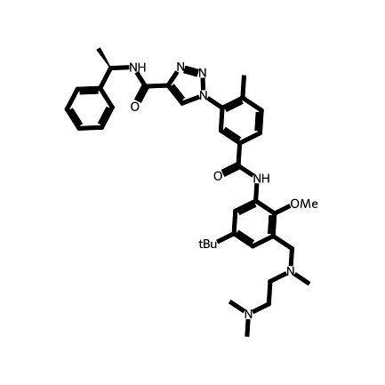 COc1c(CN(C)CCN(C)C)cc(C(C)(C)C)cc1NC(=O)c1ccc(C)c(-n2cc(C(=O)N[C@H](C)c3ccccc3)nn2)c1